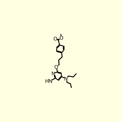 CCCN(CCC)c1cc(NC)nc(OCCCc2ccc(C(=O)OC)cc2)c1